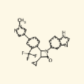 Cn1cc(-c2ccc(C3C(C4CC4)C(=O)N3c3ccc4[nH]cnc4c3)c(C(F)(F)F)c2)cn1